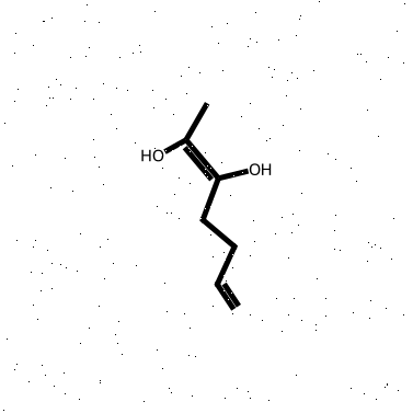 C=CCCC(O)=C(C)O